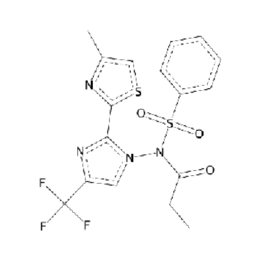 CCC(=O)N(n1cc(C(F)(F)F)nc1-c1nc(C)cs1)S(=O)(=O)c1ccccc1